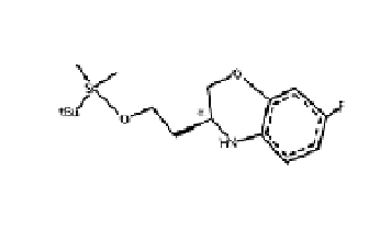 CC(C)(C)[Si](C)(C)OCC[C@H]1COc2cc(F)ccc2N1